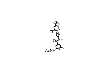 CC(=O)Nc1cc(C(=O)NC2CN(c3ncc(C(F)(F)F)cc3Cl)C2)cc(C)n1